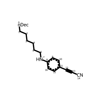 CCCCCCCCCCCCCCCCNc1ccc(C#CC#N)cc1